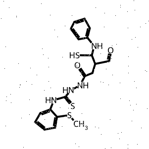 CSc1ccccc1NC(=S)NNC(=O)CC(C=O)C(S)Nc1ccccc1